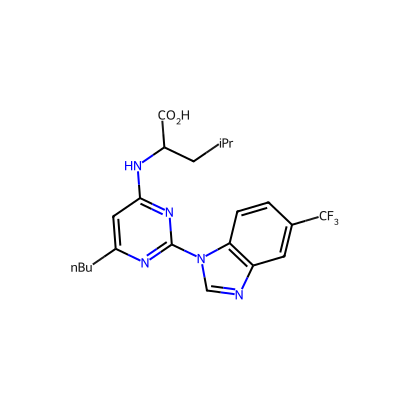 CCCCc1cc(NC(CC(C)C)C(=O)O)nc(-n2cnc3cc(C(F)(F)F)ccc32)n1